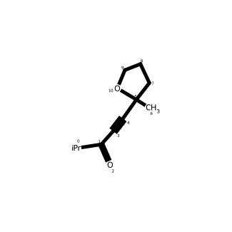 CC(C)C(=O)C#CC1(C)CCCO1